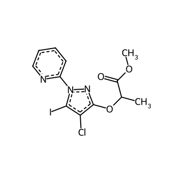 COC(=O)C(C)Oc1nn(-c2ccccn2)c(I)c1Cl